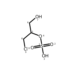 O=S(=O)(O)OC(CO)CCl